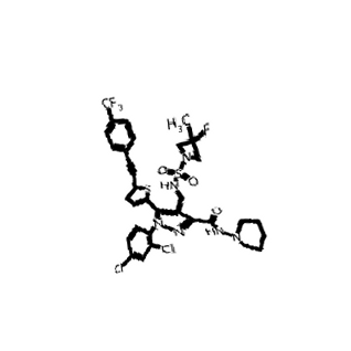 CC1(F)CN(S(=O)(=O)NCc2c(C(=O)NN3CCCCC3)nn(-c3ccc(Cl)cc3Cl)c2-c2ccc(C#Cc3ccc(C(F)(F)F)cc3)s2)C1